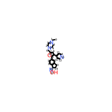 CCN1CCN(Cc2cc(-c3ccncc3)c(-c3ccc4c(c3)CCC4=NO)o2)CC1